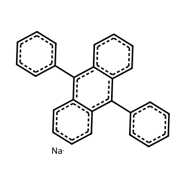 [Na].c1ccc(-c2c3ccccc3c(-c3ccccc3)c3ccccc23)cc1